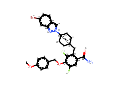 COc1ccc(COc2c(F)cc(C(N)=O)c(CC34CCC(n5cc6ccc(Br)cc6n5)(CC3)CC4)c2F)cc1